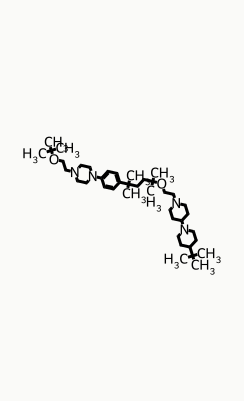 CC(C)(C)OCCN1CCN(c2ccc(C(C)(C)CCC(C)(C)OCCN3CCC(N4CCC(C(C)(C)C)CC4)CC3)cc2)CC1